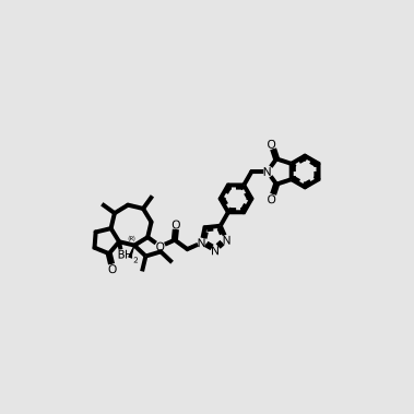 BC12C(=O)CCC1C(C)CC(C)CC(OC(=O)Cn1cc(-c3ccc(CN4C(=O)c5ccccc5C4=O)cc3)nn1)[C@]2(C)C(C)CC